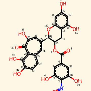 O=Nc1c(O)cc(C(=O)OC2Cc3c(O)cc(O)cc3O[C@@H]2c2cc(O)c(=O)c3c(O)c(O)ccc3c2)cc1O